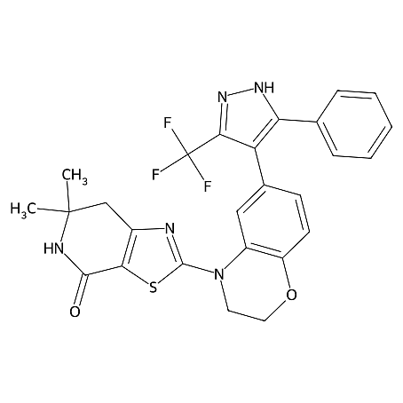 CC1(C)Cc2nc(N3CCOc4ccc(-c5c(C(F)(F)F)n[nH]c5-c5ccccc5)cc43)sc2C(=O)N1